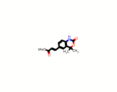 COC(=O)C=Cc1ccc2c(c1)C(C)(C)OC(=O)N2